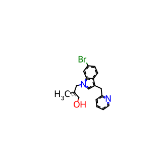 C[C@H](CO)Cn1cc(Cc2ccccn2)c2ccc(Br)cc21